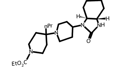 CCCC1(N2CCC(N3C(=O)N[C@H]4CCCC[C@@H]43)CC2)CCN(C(=O)OCC)CC1